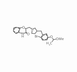 COC(C)Oc1ccc(Br)c(CC2CCN(CC3Oc4ccccc4NC3=O)C2)c1